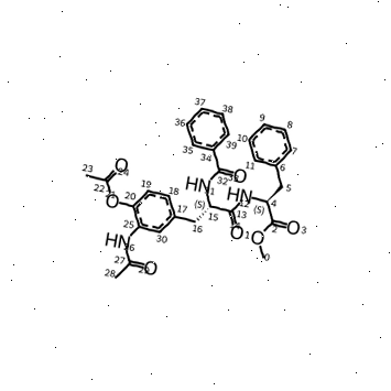 COC(=O)[C@H](Cc1ccccc1)NC(=O)[C@H](Cc1ccc(OC(C)=O)c(NC(C)=O)c1)NC(=O)c1ccccc1